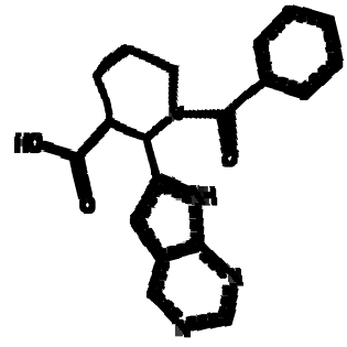 O=C(O)C1CCCN(C(=O)c2ccccc2)C1c1cc2cncnc2[nH]1